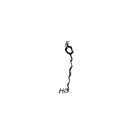 OCCCCCCCCCc1ccc(F)cc1